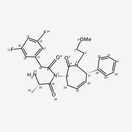 COCCN1C(=O)[C@@H](N(C(=O)Cc2cc(F)cc(F)c2)C(=O)[C@H](C)N)CC=C[C@H]1c1ccccc1